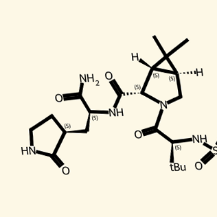 CC(C)(C)[C@H](NS(C)(=O)=O)C(=O)N1C[C@H]2[C@H]([C@H]1C(=O)N[C@@H](C[C@@H]1CCNC1=O)C(N)=O)C2(C)C